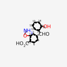 NOc1ccccc1C(=O)O.O=Cc1ccccc1O